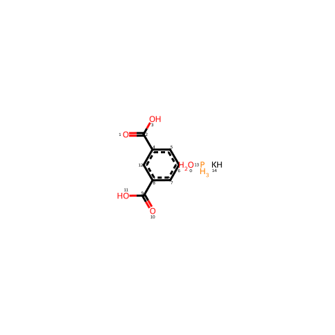 O.O=C(O)c1cccc(C(=O)O)c1.P.[KH]